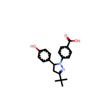 CC(C)(C)C1=NN(c2ccc(C(=O)O)cc2)C(c2ccc(O)cc2)C1